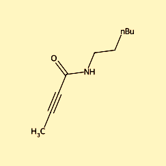 CC#CC(=O)NCCCCCC